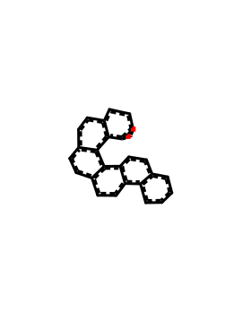 c1ccc2c(c1)ccc1c2ccc2ccc3ccc4ccc5ccccc5c4c3c21